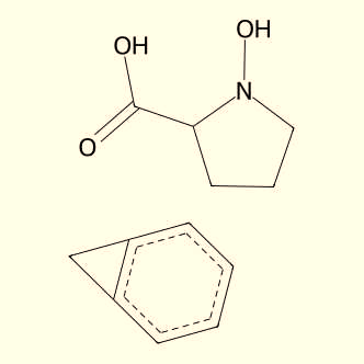 O=C(O)C1CCCN1O.c1ccc2c(c1)C2